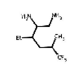 CCC(C[C@@H](C)C(F)(F)F)C(N)CN